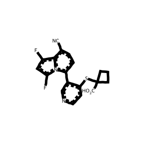 N#Cc1ccc(-c2cnccc2SC2(C(=O)O)CCC2)n2c(F)cc(F)c12